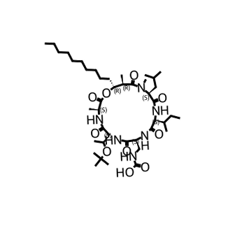 CCCCCCCCCC[C@H]1OC(=O)[C@H](C)NC(=O)[C@H](C(C)OC(C)(C)C)NC(=O)[C@H](CNC(=O)O)NC(=O)[C@H](C(C)CC)NC(=O)[C@H](CC(C)C)N(C)C(=O)[C@@H]1C